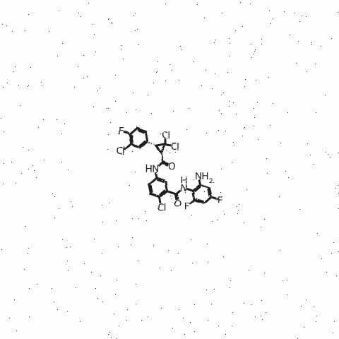 Nc1cc(F)cc(F)c1NC(=O)c1cc(NC(=O)[C@H]2[C@H](c3ccc(F)c(Cl)c3)C2(Cl)Cl)ccc1Cl